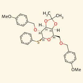 COc1ccc(COC[C@H]2O[C@@H](Sc3ccccc3)[C@H](OCc3ccc(OC)cc3)[C@H]3OC(C)(C)O[C@H]32)cc1